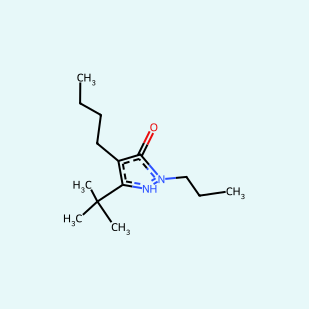 CCCCc1c(C(C)(C)C)[nH]n(CCC)c1=O